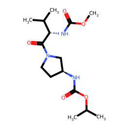 COC(=O)N[C@H](C(=O)N1CC[C@H](NC(=O)OC(C)C)C1)C(C)C